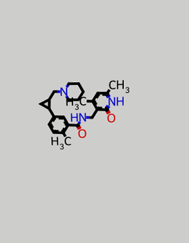 Cc1cc(C)c(CNC(=O)c2cc(C3CC3CN3CCCCC3)ccc2C)c(=O)[nH]1